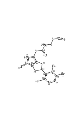 COCCNC(=O)Cc1[nH]c(=S)n2c1CC(c1c(F)ccc(Br)c1F)C2